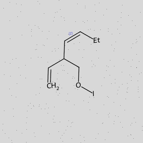 C=CC(/C=C\CC)COI